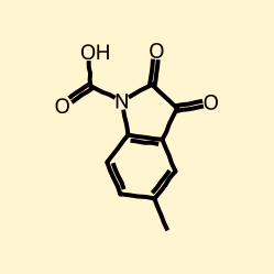 Cc1ccc2c(c1)C(=O)C(=O)N2C(=O)O